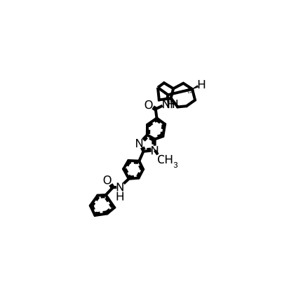 Cn1c(-c2ccc(NC(=O)c3ccccc3)cc2)nc2cc(C(=O)NC3C4CC5C[C@@H]3CCC[C@H]5C4)ccc21